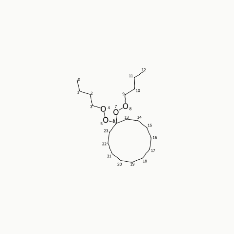 CCCCOOC1(OOCCCC)CCCCCCCCCCC1